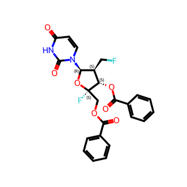 O=C(OC[C@@]1(F)O[C@@H](n2ccc(=O)[nH]c2=O)[C@@H](CF)[C@@H]1OC(=O)c1ccccc1)c1ccccc1